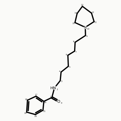 O=C(NCCCCCCCN1CC[CH]CC1)c1ccccc1